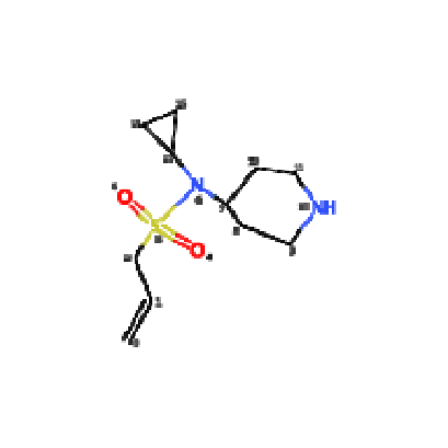 C=CCS(=O)(=O)N(C1CCNCC1)C1CC1